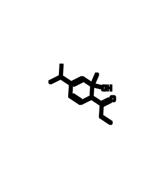 CCC(=O)C1C=CC(C(C)C)=CC1(C)O